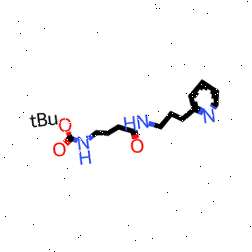 CC(C)(C)OC(=O)NCCCC(=O)NCCCc1ccccn1